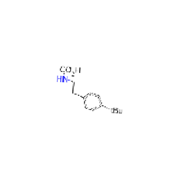 CC(C)(C)c1ccc(C=CNC(=O)O)cc1